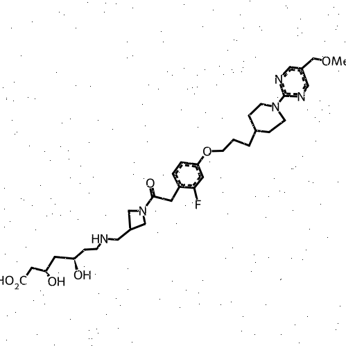 COCc1cnc(N2CCC(CCCOc3ccc(CC(=O)N4CC(CNCC[C@@H](O)C[C@@H](O)CC(=O)O)C4)c(F)c3)CC2)nc1